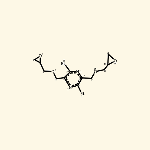 CCc1nc(COCC2CO2)c(CC)nc1COCC1CO1